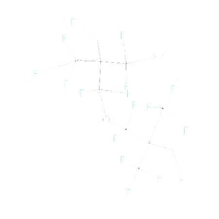 FCC(C(F)(F)F)(C(F)(F)F)C(F)(F)OC(F)(F)C(CF)(C(F)(F)F)C(F)(F)F